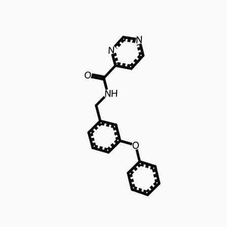 O=C(NCc1cccc(Oc2ccccc2)c1)c1ccncn1